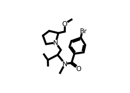 COCC1CCCN1CC(C(C)C)N(C)C(=O)c1ccc(Br)cc1